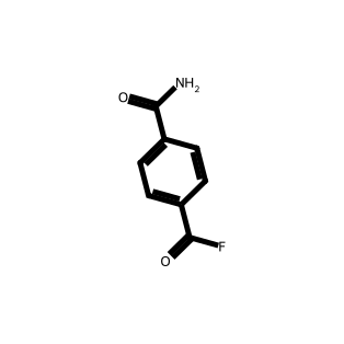 NC(=O)c1ccc(C(=O)F)cc1